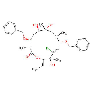 CC[C@H]1OC(=O)[C@H](C)[C@@H](OCc2ccccc2)C[C@@H](O)[C@](C)(O)C[C@@H](C)[C@H](OCc2ccccc2)/C=C(\Br)[C@]1(C)O